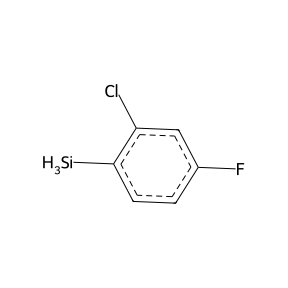 Fc1ccc([SiH3])c(Cl)c1